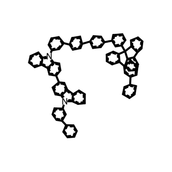 c1ccc(-c2cccc(-c3ccccc3C3(c4cccc(-c5ccc(-c6ccc(-c7cccc(-n8c9ccccc9c9cc(-c%10ccc%11c(c%10)c%10ccccc%10n%11-c%10cccc(-c%11ccccc%11)c%10)ccc98)c7)cc6)cc5)c4)c4ccccc4-c4ccccc43)c2)cc1